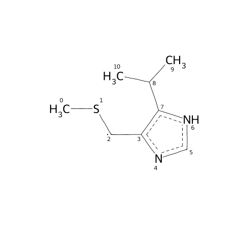 CS[CH]c1nc[nH]c1C(C)C